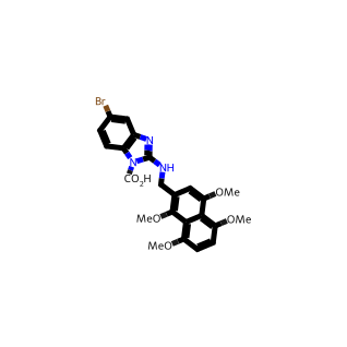 COc1ccc(OC)c2c(OC)c(CNc3nc4cc(Br)ccc4n3C(=O)O)cc(OC)c12